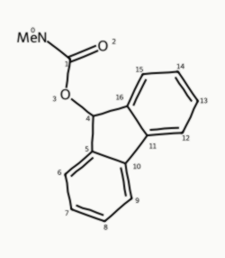 CNC(=O)OC1c2ccccc2-c2ccccc21